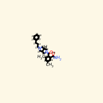 Cc1cc(C)c(C(=O)N2CC3CN(CC[CH]c4ccccc4)C[C@H]3C2)c(C(N)=O)c1